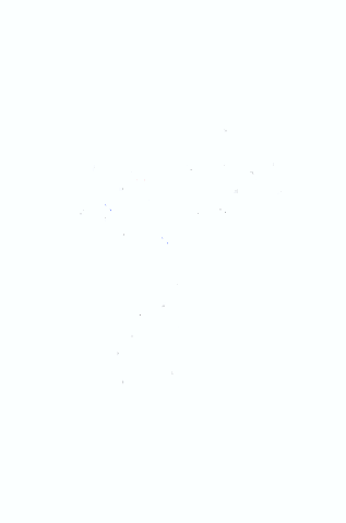 O=C(CC1Cc2ccccc2C1)N[C@H](CN1CCCC1)[C@H](O)c1ccc(C2CC2)c(Cl)c1